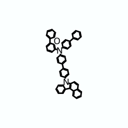 c1ccc(-c2ccc(N(c3ccc(-c4ccc(-n5c6ccccc6c6c7ccccc7ccc65)cc4)cc3)c3cccc4c3oc3ccccc34)cc2)cc1